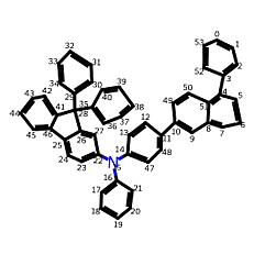 c1ccc(-c2cccc3cc(-c4ccc(N(c5ccccc5)c5ccc6c(c5)C(c5ccccc5)(c5ccccc5)c5ccccc5-6)cc4)ccc23)cc1